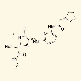 CCNC(=O)C(C#N)=c1sc(=CNc2cccc(NC(=O)CN3CCSC3)n2)c(=O)n1CC